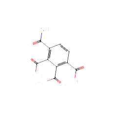 NC(=O)c1ccc(C(=O)O)c(C(=O)O)c1C(=O)O